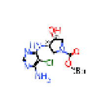 CC(C)(C)OC(=O)N1C[C@H](O)[C@H](Nc2ncnc(N)c2Cl)C1